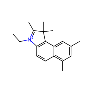 CC[N+]1=C(C)C(C)(C)c2c1ccc1c(C)cc(C)cc21